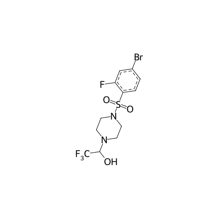 O=S(=O)(c1ccc(Br)cc1F)N1CCN(C(O)C(F)(F)F)CC1